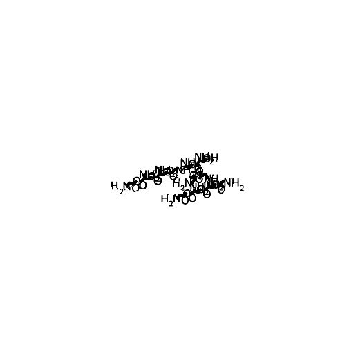 NCC(=O)OC(=O)CN.NCC(=O)OC[C@H](N)C(=O)OC[C@H](N)C(=O)OC(=O)CN.NCC(=O)OC[C@H](N)C(=O)OC[C@H](N)C(=O)OC(=O)CN.N[C@@H](COC(=O)[C@@H](N)CO)C(=O)O